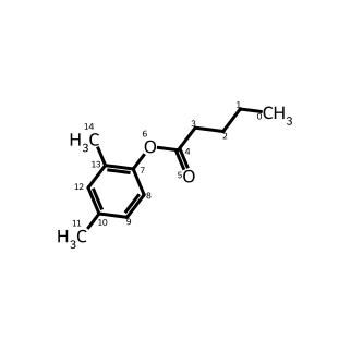 CCCCC(=O)Oc1ccc(C)cc1C